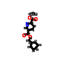 CC(C)(C)OC(=O)C1CC=C(C(=O)OCc2ccccc2)C=N1